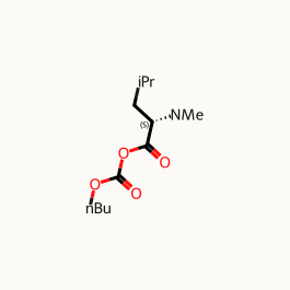 CCCCOC(=O)OC(=O)[C@H](CC(C)C)NC